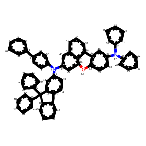 c1ccc(-c2ccc(N(c3ccc4c(c3)C(c3ccccc3)(c3ccccc3)c3ccccc3-4)c3cc4c5c(cccc5c3)-c3cc(N(c5ccccc5)c5ccccc5)ccc3O4)cc2)cc1